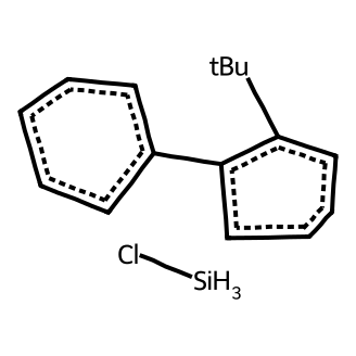 CC(C)(C)c1ccccc1-c1ccccc1.[SiH3]Cl